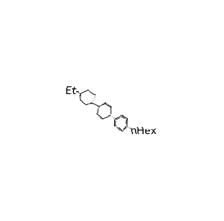 CCCCCCc1ccc([C@H]2CC[C@H]([C@H]3CC[C@H](CC)CC3)CC2)cc1